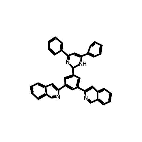 C1=C(c2ccccc2)NC(c2cc(-c3cc4ccccc4cn3)cc(-c3cc4ccccc4cn3)c2)N=C1c1ccccc1